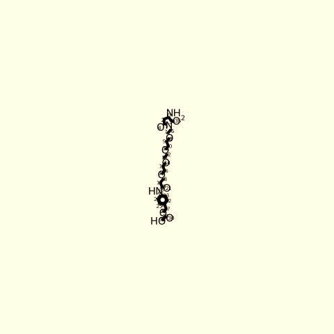 NC1CC(=O)N(CCOCCOCCOCCOCCC(=O)Nc2ccc(COC(=O)O)cc2)C1=O